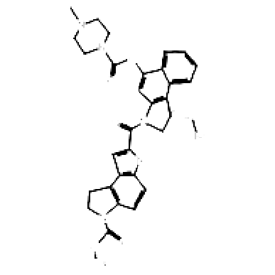 CN1CCN(C(=O)Oc2cc3c(c4ccccc24)[C@H](CBr)CN3C(=O)c2cc3c4c(ccc3[nH]2)N(C(=O)OC(C)(C)C)CC4)CC1